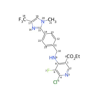 CCOC(=O)c1cnc(Cl)c(F)c1NCc1ccc(-c2nc(C(F)(F)F)cn2C)cc1